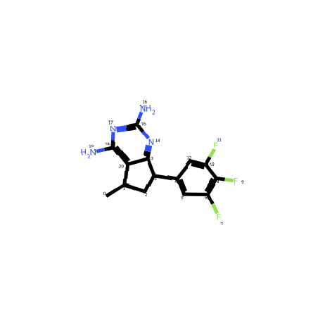 CC1CC(c2cc(F)c(F)c(F)c2)c2nc(N)nc(N)c21